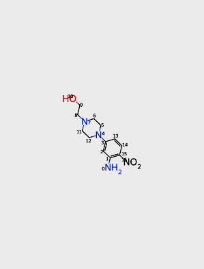 Nc1cc(N2CCN(CCO)CC2)ccc1[N+](=O)[O-]